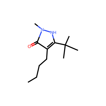 CCCCc1c(C(C)(C)C)[nH]n(C)c1=O